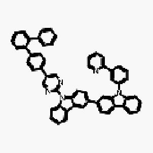 c1ccc(-c2ccccc2-c2ccc(-c3cnc(-n4c5ccccc5c5cc(-c6ccc7c8ccccc8n(-c8cccc(-c9ccccn9)c8)c7c6)ccc54)nc3)cc2)cc1